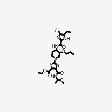 CCCOC1CN(c2nc(C(=O)NC(C)OC)c(C(=O)OCC)s2)CCC1NC(=O)c1nc(Cl)c(CC)[nH]1